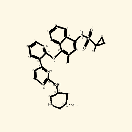 Cc1cc(NS(=O)(=O)C2(C)CC2)c2ccccc2c1Oc1ncccc1-c1ccnc(N[C@@H]2CNC[C@@H](F)C2)n1